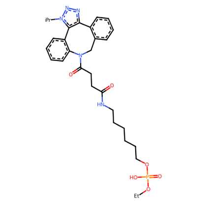 CCOP(=O)(O)OCCCCCCNC(=O)CCC(=O)N1Cc2ccccc2-c2nnn(C(C)C)c2-c2ccccc21